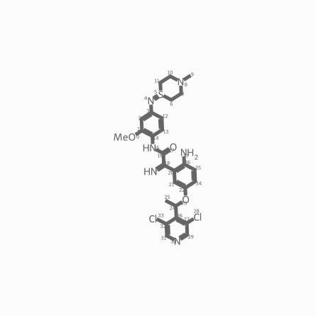 COc1cc(N=S2CCN(C)CC2)ccc1NC(=O)C(=N)c1cc(OC(C)c2c(Cl)cncc2Cl)ccc1N